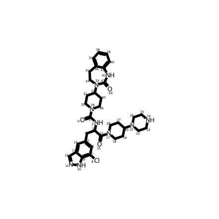 O=C(NC(Cc1cc(Cl)c2[nH]ncc2c1)C(=O)N1CCC(N2CCNCC2)CC1)N1CCC(N2CCc3ccccc3NC2=O)CC1